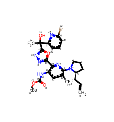 C=CC[C@@H]1CCCN1c1nc(-c2nnc(C(O)(c3cccc(Br)n3)C(F)(F)F)o2)c(NC(=O)OC(C)(C)C)cc1C(F)(F)F